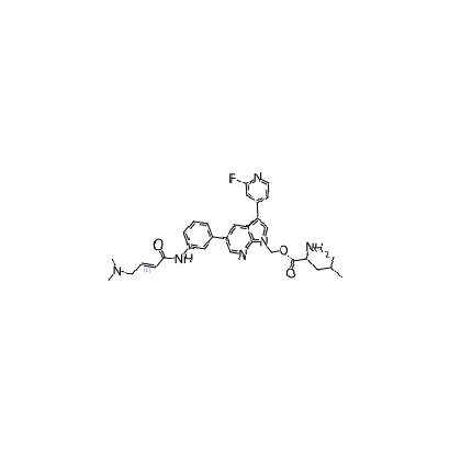 CC(C)CC(N)C(=O)OCn1cc(-c2ccnc(F)c2)c2cc(-c3cccc(NC(=O)/C=C/CN(C)C)c3)cnc21